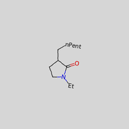 CCCCCCC1CCN(CC)C1=O